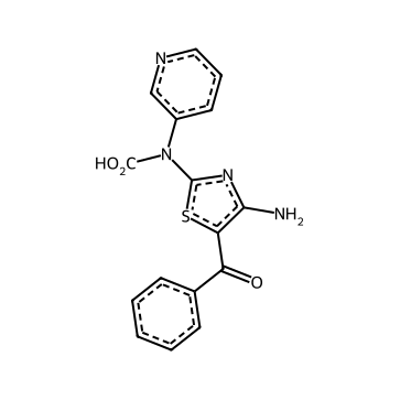 Nc1nc(N(C(=O)O)c2cccnc2)sc1C(=O)c1ccccc1